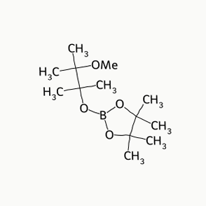 COC(C)(C)C(C)(C)OB1OC(C)(C)C(C)(C)O1